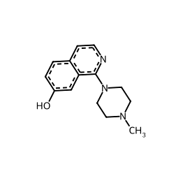 CN1CCN(c2nccc3ccc(O)cc23)CC1